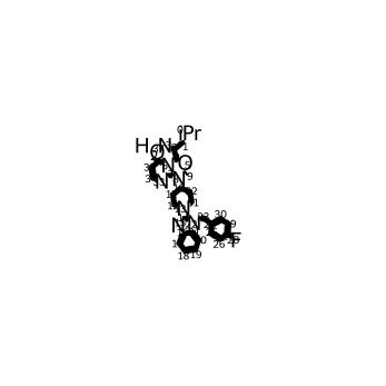 CC(C)CC(N)C(=O)n1c(N(C)C2CCN(c3nc4ccccc4n3Cc3ccc(F)cc3)CC2)nccc1=O